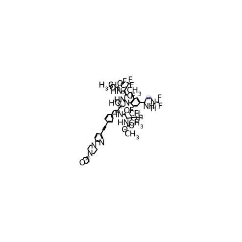 COC(=O)NC(C(=O)N[C@@H](Cc1ccc(C#Cc2ccc(N3CCN([C@@H]4CCOC4)CC3)nc2)cc1)[C@@H](O)CN(NC(=O)[C@@H](NC(=O)OC)C(C)(C)C(F)(F)F)c1c(F)cc(C(=N)/C=C\NC(F)F)cc1F)C(C)(C)C(F)(F)F